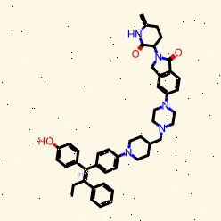 C=C1CCC(N2Cc3cc(N4CCN(CC5CCN(c6ccc(/C(=C(/CC)c7ccccc7)c7ccc(O)cc7)cc6)CC5)CC4)ccc3C2=O)C(=O)N1